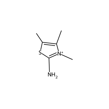 Cc1sc(N)[n+](C)c1C